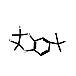 CC(C)(C)c1ccc2c(c1)OC(C)(F)C(C)(F)O2